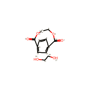 O=C1OCCOC(=O)c2ccc1cc2.OCCO